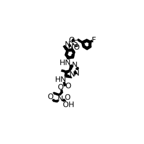 Cc1c(NC(=O)OCC2COCCN2C(=O)O)cn2ncnc(Nc3ccc4c(cnn4S(=O)(=O)Cc4cccc(F)c4)c3)c12